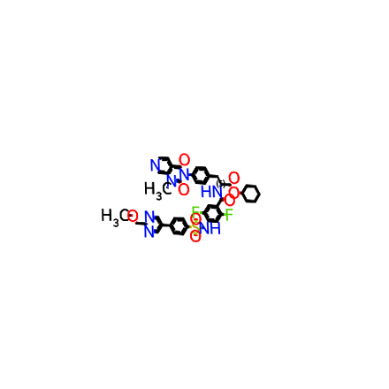 COCc1ncc(-c2ccc(S(=O)(=O)Nc3cc(F)c(C(=O)N[C@@H](Cc4ccc(-n5c(=O)c6ccncc6n(C)c5=O)cc4)C(=O)OC4CCCCC4)cc3F)cc2)cn1